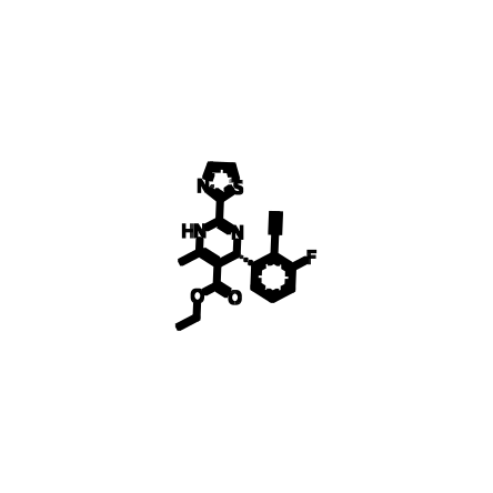 C#Cc1c(F)cccc1[C@H]1N=C(c2nccs2)NC(C)=C1C(=O)OCC